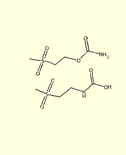 CS(=O)(=O)CCNC(=O)O.CS(=O)(=O)CCOC(N)=O